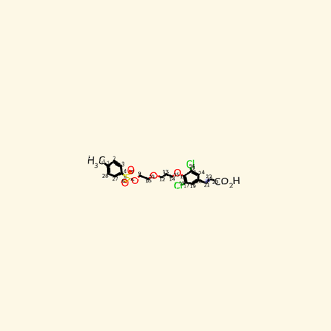 Cc1ccc(S(=O)(=O)OCCOCCCOc2c(Cl)cc(/C=C/C(=O)O)cc2Cl)cc1